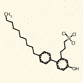 CCCCCCCCCCc1ccc(-c2ccc(O)cc2CCC[Si](Cl)(Cl)Cl)cc1